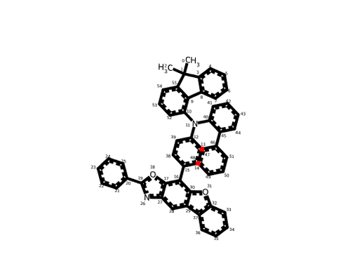 CC1(C)c2ccccc2-c2c(N(c3ccc(-c4c5oc(-c6ccccc6)nc5cc5c4oc4ccccc45)cc3)c3ccccc3-c3ccccc3)cccc21